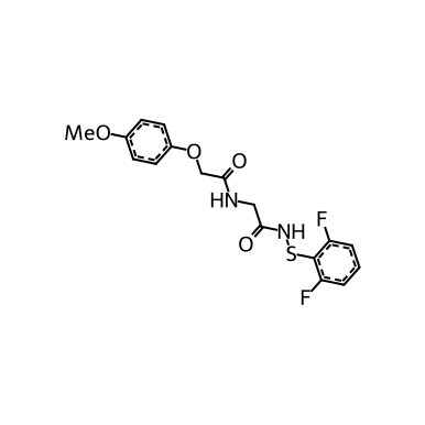 COc1ccc(OCC(=O)NCC(=O)NSc2c(F)cccc2F)cc1